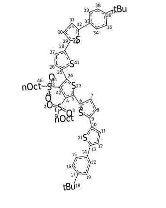 CCCCCCCCS(=O)(=O)c1c(-c2ccc(-c3ccc(-c4ccc(C(C)(C)C)cc4)s3)s2)sc(-c2ccc(-c3ccc(-c4ccc(C(C)(C)C)cc4)s3)s2)c1S(=O)(=O)CCCCCCCC